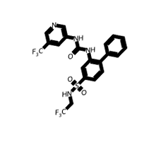 O=C(Nc1cncc(C(F)(F)F)c1)Nc1cc(S(=O)(=O)NCC(F)(F)F)ccc1-c1ccccc1